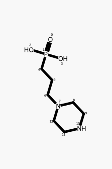 O=P(O)(O)CCCN1CCNCC1